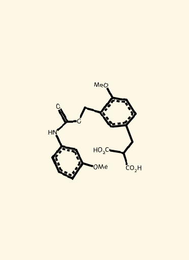 COc1cccc(NC(=O)OCc2cc(CC(C(=O)O)C(=O)O)ccc2OC)c1